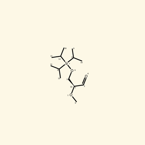 CO[C@H](C=O)CO[Si](C(C)C)(C(C)C)C(C)C